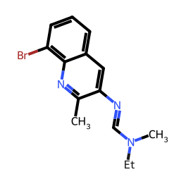 CCN(C)C=Nc1cc2cccc(Br)c2nc1C